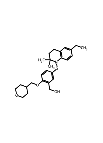 CCc1ccc2c(c1)CCC(C)(C)N2Sc1ccc(OCC2CCOCC2)c(CO)c1